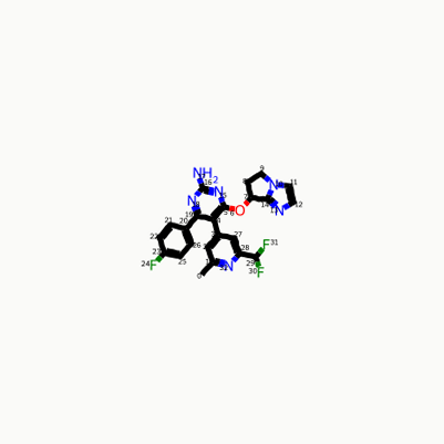 Cc1cc(-c2c(OC3CCn4ccnc43)nc(N)nc2-c2ccc(F)cc2)cc(C(F)F)n1